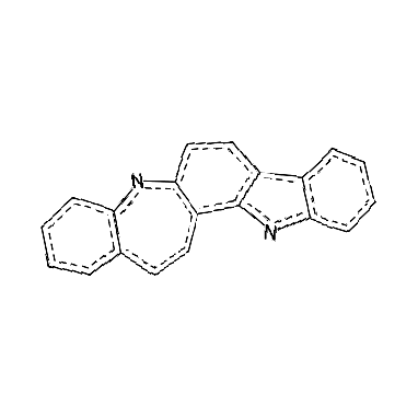 c1ccc2nc3ccc4c5ccccc5nc4c3ccc2c1